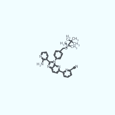 CC(C)(C)[Si](C)(C)OCc1ccc(-n2c(-c3cccnc3N)nc3ccc(-c4cccc(C#N)n4)nc32)cc1